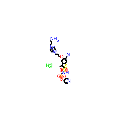 Cc1c(S(=O)(=O)NCP(=O)([O-])Oc2cccnc2)sc2cc(C#N)c(OCCC[N+]34CC[N+](CCCN)(CC3)CC4)cc12.Cl.[Cl-]